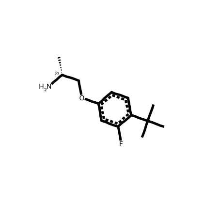 C[C@@H](N)COc1ccc(C(C)(C)C)c(F)c1